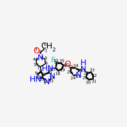 C=CC(=O)N1CCC(c2c[nH]c3ncnc(Nc4ccc(Oc5ccnc(Nc6ccccc6)c5)cc4F)c23)CC1